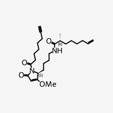 C#CCCCCCC(=O)N1C(=O)C=C(OC)[C@@H]1CCCCNC(=O)[C@H](C)CCCCC=C